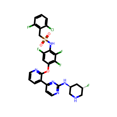 O=S(=O)(Cc1c(F)cccc1Cl)Nc1c(F)cc(Oc2ncccc2-c2ccnc(N[C@@H]3CNC[C@@H](F)C3)n2)c(F)c1F